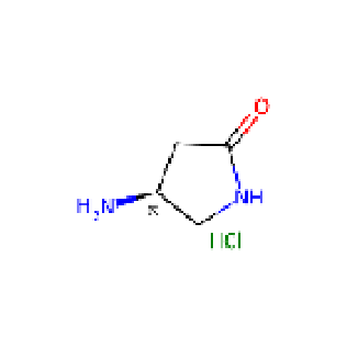 Cl.N[C@@H]1CNC(=O)C1